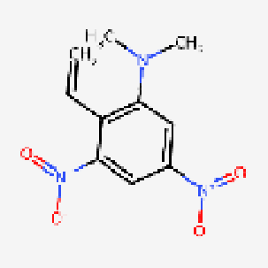 C=Cc1c(N(C)C)cc([N+](=O)[O-])cc1[N+](=O)[O-]